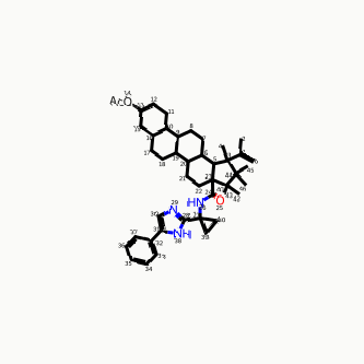 C=C(C)C1(C)C2C3CCC4C5CCC(OC(C)=O)CC5CCC4C3CCC2(C(=O)NC2(c3ncc(-c4ccccc4)[nH]3)CC2)C(C)(C)C1(C)C